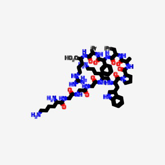 CC(C)CC(NC(=O)C(C)NC(=O)C1CCCN1C(=O)C(Cc1c[nH]c2ccccc12)NCC(CCCCN)NC(=O)CNC(=O)CNC(=O)CNC(=O)C(N)CCCCN)C(=O)NC(C(=O)NC(C(=O)NC(CCCNC(=N)N)C(=O)O)C(C)C)c1ccccc1